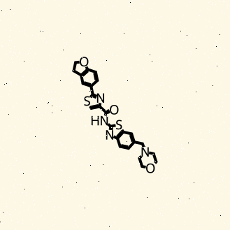 O=C(Nc1nc2ccc(CN3CCOCC3)cc2s1)c1csc(-c2ccc3c(c2)CCO3)n1